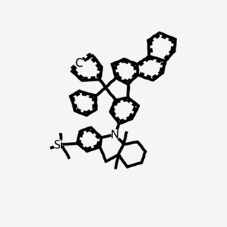 CC12CCCCC1(C)N(c1ccc3c(c1)C(c1ccccc1)(c1ccccc1)c1ccc4c(ccc5ccccc54)c1-3)c1ccc([Si](C)(C)C)cc1C2